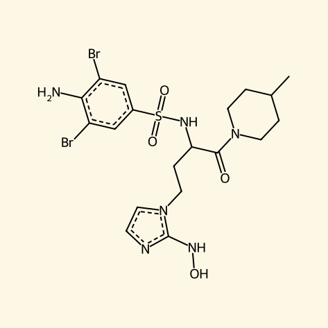 CC1CCN(C(=O)C(CCn2ccnc2NO)NS(=O)(=O)c2cc(Br)c(N)c(Br)c2)CC1